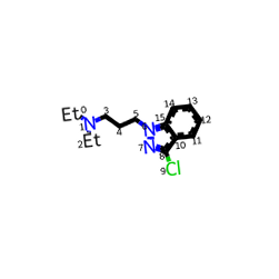 CCN(CC)CCCn1nc(Cl)c2ccccc21